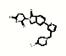 CC1CCN(Cc2ccnc(-c3ccc4c(c3)CN(C3CCC(=O)NC3=O)C4=O)c2)CC1